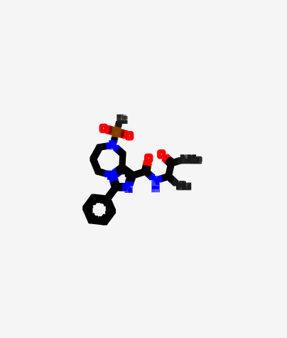 CCS(=O)(=O)N1CCCn2c(-c3ccccc3)nc(C(=O)NC(C(=O)NC)C(C)(C)C)c2C1